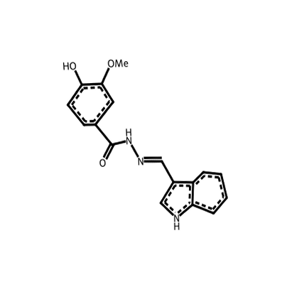 COc1cc(C(=O)N/N=C/c2c[nH]c3ccccc23)ccc1O